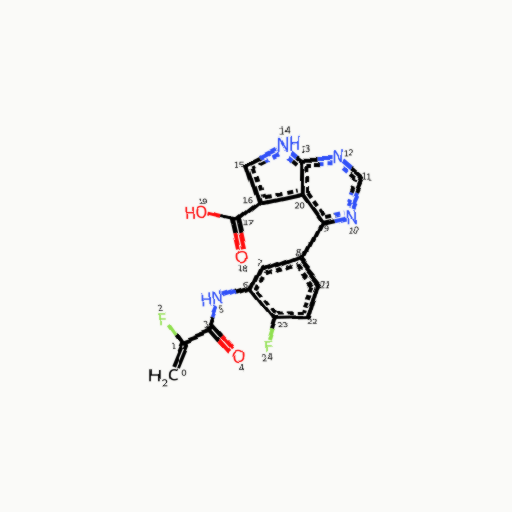 C=C(F)C(=O)Nc1cc(-c2ncnc3[nH]cc(C(=O)O)c23)ccc1F